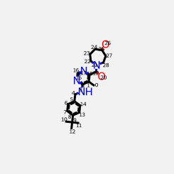 Cc1c(NCc2ccc(C(C)(C)C)cc2)ncnc1C(=O)N1CCCC(=O)CC1